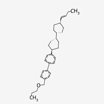 CCC=C[C@H]1CC[C@H]([C@H]2CC[C@H](c3ccc(-c4ccc(COCCC)cc4)cc3)CC2)CC1